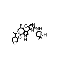 CC(C1CCOCC1)N1CCCc2c(-c3nc(N[C@H]4CCC(C)(C)NC4)ncc3C(F)(F)F)c[nH]c2C1=O